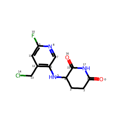 O=C1CCC(Nc2cnc(F)cc2CCl)C(=O)N1